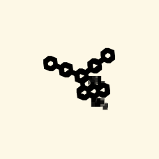 Nc1c2ccccc2c(N)c2c(-c3cc(-c4ccc(C5CCCCC5)cc4)cc(-c4ccc(C5CCCCC5)cc4)c3)cccc12